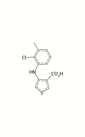 Cc1cccc(Nc2cscc2C(=O)O)c1Cl